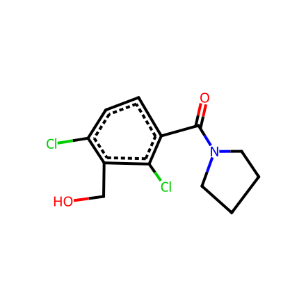 O=C(c1ccc(Cl)c(CO)c1Cl)N1CCCC1